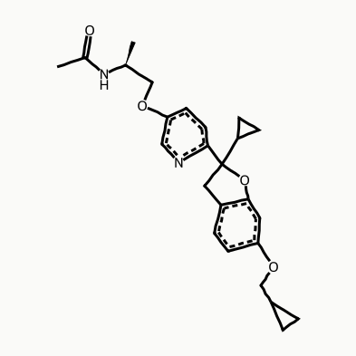 CC(=O)N[C@@H](C)COc1ccc(C2(C3CC3)Cc3ccc(OCC4CC4)cc3O2)nc1